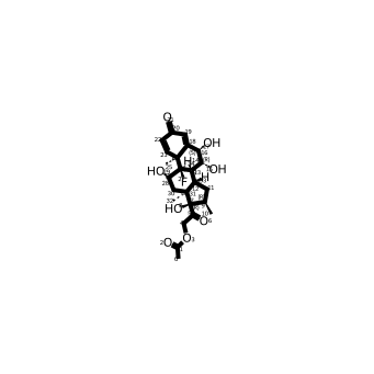 CC(=O)OCC(=O)[C@@]1(O)[C@H](C)C[C@H]2[C@@H]3[C@@H](O)[C@@H](O)C4=CC(=O)C=C[C@]4(C)[C@@]3(F)[C@@H](O)C[C@@]21C